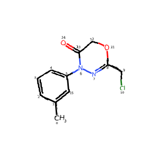 Cc1cccc(N2N=C(CCl)OCC2=O)c1